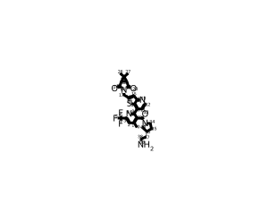 Cc1cc(C(F)(F)F)nc(-c2ccnc3cc(CN4C(=O)C5C(C4=O)C5(C)C)sc23)c1C(=O)N1CC[C@H](CCN)C1